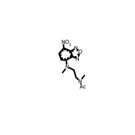 CC(=O)N(C)CCN(C)c1ccc([N+](=O)[O-])c2nonc12